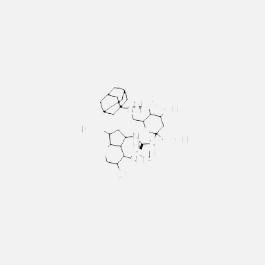 CCC1COC2C(C(=O)O)CC(NC(=N)NC3(C(=O)O)CC(O)C(NC(C)=O)C(CNC45CC6CC(CC(C6)C4)C5)O3)C2C1NC(C)=O